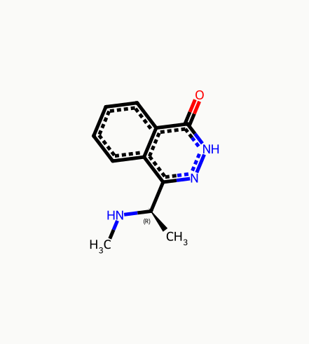 CN[C@H](C)c1n[nH]c(=O)c2ccccc12